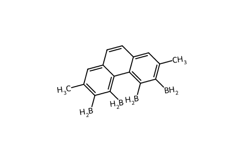 Bc1c(C)cc2ccc3cc(C)c(B)c(B)c3c2c1B